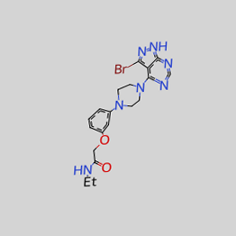 CCNC(=O)COc1cccc(N2CCN(c3ncnc4[nH]nc(Br)c34)CC2)c1